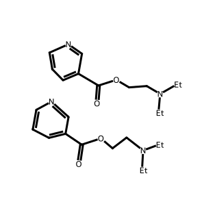 CCN(CC)CCOC(=O)c1cccnc1.CCN(CC)CCOC(=O)c1cccnc1